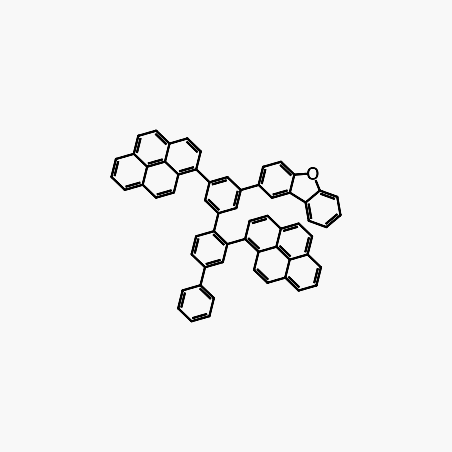 c1ccc(-c2ccc(-c3cc(-c4ccc5oc6ccccc6c5c4)cc(-c4ccc5ccc6cccc7ccc4c5c67)c3)c(-c3ccc4ccc5cccc6ccc3c4c56)c2)cc1